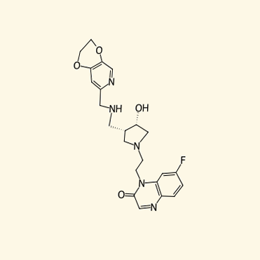 O=c1cnc2ccc(F)cc2n1CCN1C[C@H](CNCc2cc3c(cn2)OCCO3)[C@H](O)C1